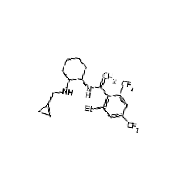 C=C(N[C@@H]1CCCC[C@@H]1NCC1CC1)c1c(CC)cc(C(F)(F)F)cc1C(F)(F)F